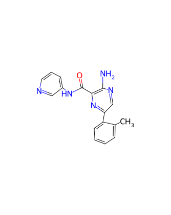 Cc1ccccc1-c1cnc(N)c(C(=O)Nc2cccnc2)n1